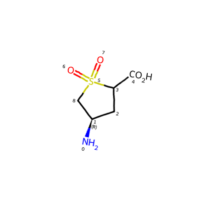 N[C@@H]1CC(C(=O)O)S(=O)(=O)C1